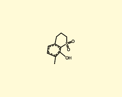 Cc1ccc2c(c1O)S(=O)(=O)CCC2